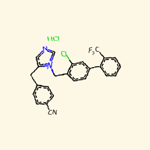 Cl.N#Cc1ccc(Cc2cncn2Cc2ccc(-c3ccccc3C(F)(F)F)cc2Cl)cc1